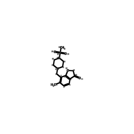 Cc1ccc2c(c1CN1CCN(S(C)(=O)=O)CC1)OCC2=O